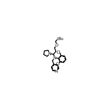 CC(C)(C)COCCC(N1CCCC1)N(Cc1ccncc1)c1c(Cl)cccc1Cl